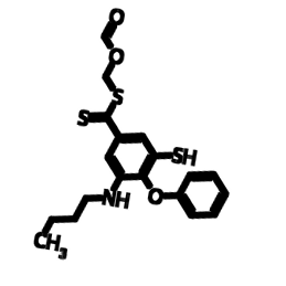 CCCCNc1cc(C(=S)SCOC=O)cc(S)c1Oc1ccccc1